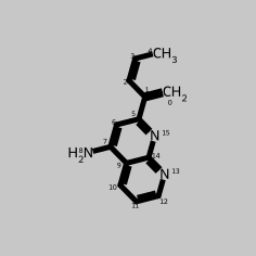 C=C(/C=C\C)c1cc(N)c2cccnc2n1